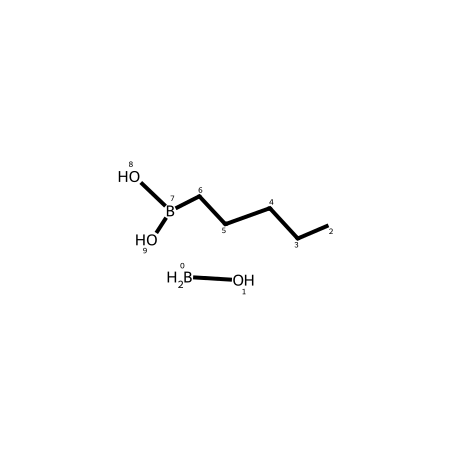 BO.CCCCCB(O)O